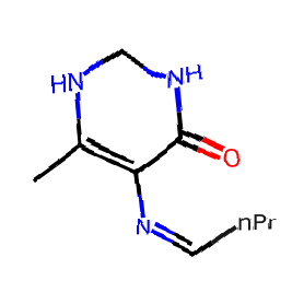 CCC/C=N\C1=C(C)NCNC1=O